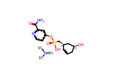 CCN(CC)CC.NC(=O)c1cc(OP(=O)(O)C[C@@H]2C=CC[C@H](O)C2)ccn1